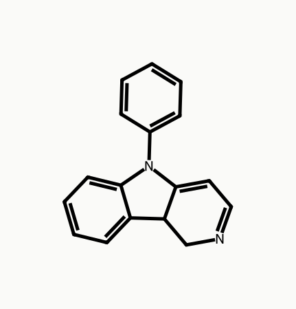 C1=NCC2C(=C1)N(c1ccccc1)c1ccccc12